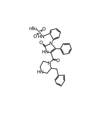 CCCCS(=O)(=O)Nc1ccccc1-n1c(-c2ccccc2)c(C(=O)N2CCNCC2Cc2ccccc2)[nH]c1=O